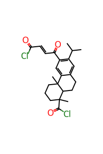 CC(C)c1cc2c(cc1C(=O)/C=C/C(=O)Cl)C1(C)CCCC(C)(C(=O)Cl)C1CC2